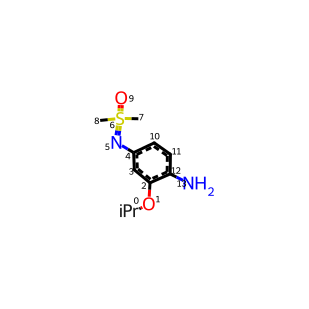 CC(C)Oc1cc(N=S(C)(C)=O)ccc1N